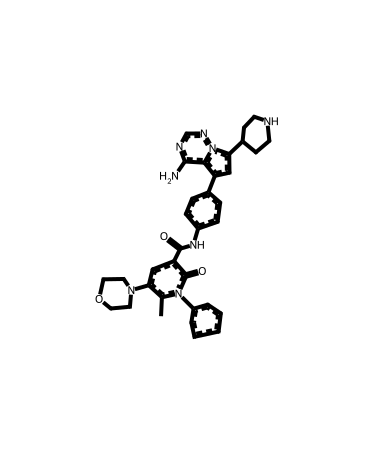 Cc1c(N2CCOCC2)cc(C(=O)Nc2ccc(-c3cc(C4CCNCC4)n4ncnc(N)c34)cc2)c(=O)n1-c1ccccc1